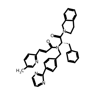 Cc1ccc(/C=C/C(=O)N(Cc2ccc(-c3ncccn3)cc2)[C@@H](Cc2ccccc2)C(=O)N2CCc3ccccc3C2)nc1